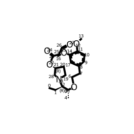 CC[C@H]([C@@H](C)OCCc1ccc(OC)c(OC)c1)N1CC[C@@H](OC(=O)CC=O)C1